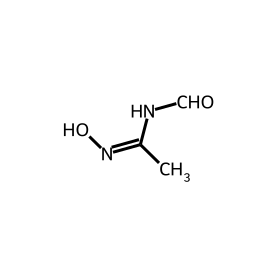 C/C(=N/O)NC=O